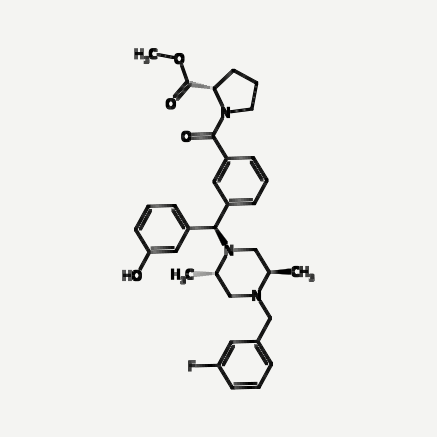 COC(=O)[C@@H]1CCCN1C(=O)c1cccc([C@H](c2cccc(O)c2)N2C[C@@H](C)N(Cc3cccc(F)c3)C[C@@H]2C)c1